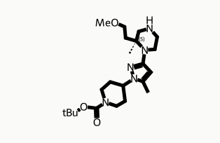 COCC[C@@]1(C)CNCCN1c1cc(C)n(C2CCN(C(=O)OC(C)(C)C)CC2)n1